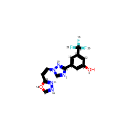 Oc1cc(-c2ncn(/C=C\c3nnco3)n2)cc(C(F)(F)F)c1